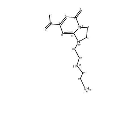 C=C(C)C1=CC(=C)N2CCN(CCNCCN)C2=C1